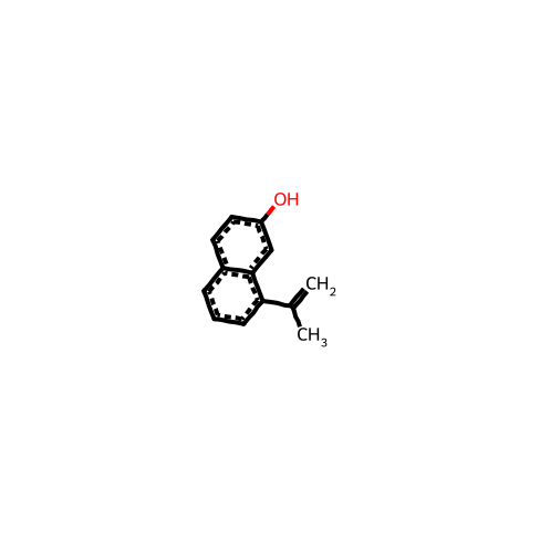 C=C(C)c1cccc2ccc(O)cc12